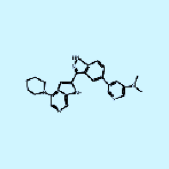 CN(C)c1cncc(-c2ccc3[nH]nc(-c4cc5c(N6CCCCC6)cncc5[nH]4)c3c2)c1